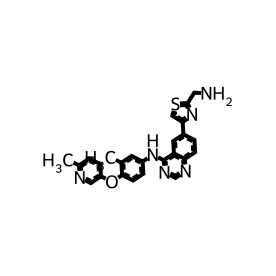 Cc1ccc(Oc2ccc(Nc3ncnc4ccc(-c5csc(CN)n5)cc34)cc2C)cn1